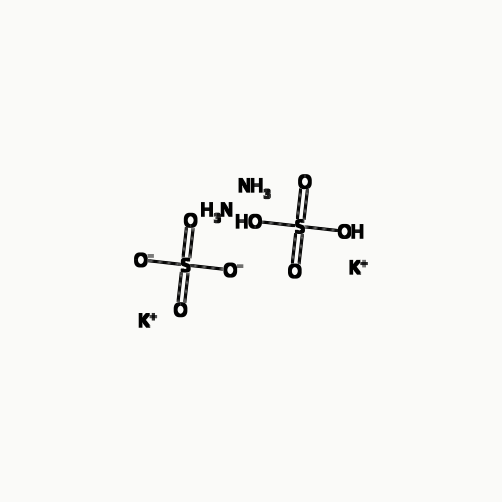 N.N.O=S(=O)(O)O.O=S(=O)([O-])[O-].[K+].[K+]